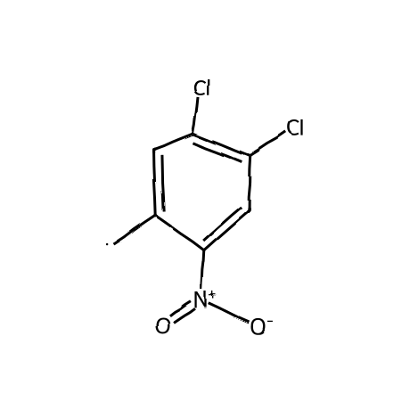 [CH2]c1cc(Cl)c(Cl)cc1[N+](=O)[O-]